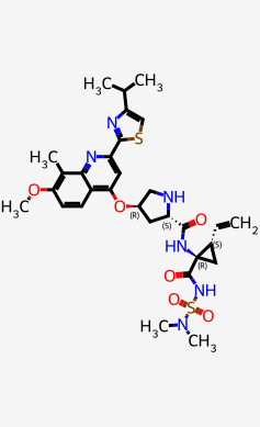 C=C[C@@H]1C[C@]1(NC(=O)[C@@H]1C[C@@H](Oc2cc(-c3nc(C(C)C)cs3)nc3c(C)c(OC)ccc23)CN1)C(=O)NS(=O)(=O)N(C)C